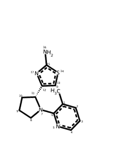 Cc1cccnc1N1CCC[C@@H]1c1csc(N)n1